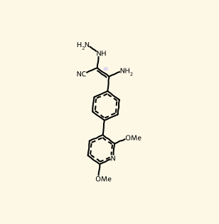 COc1ccc(-c2ccc(/C(N)=C(\C#N)NN)cc2)c(OC)n1